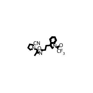 Cc1nc(CCc2cn(C(=O)C(F)(F)F)c3ccccc23)oc1N1CCCC1C#N